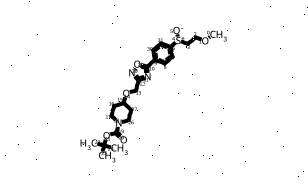 COCC[S+]([O-])c1ccc(-c2nc(COC3CCN(C(=O)OC(C)(C)C)CC3)no2)cc1